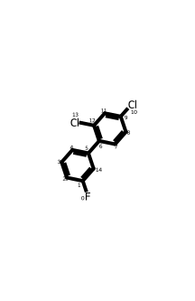 Fc1[c]ccc(-c2ccc(Cl)cc2Cl)c1